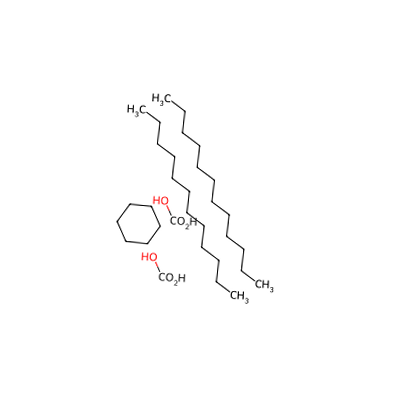 C1CCCCC1.CCCCCCCCCCCC.CCCCCCCCCCCC.O=C(O)O.O=C(O)O